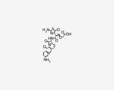 C[C@H](O/N=C(\C(=O)NC1C(=O)N2C(C=O)=C(C[n+]3cccc(N)c3)CSC12)c1nc(N)sc1Cl)C(=O)O